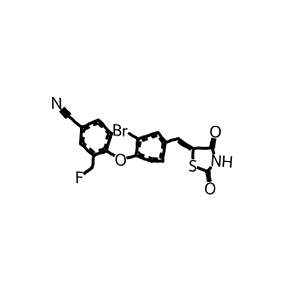 N#Cc1ccc(Oc2ccc(/C=C3\SC(=O)NC3=O)cc2Br)c(CF)c1